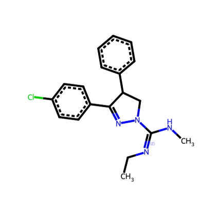 CC/N=C(/NC)N1CC(c2ccccc2)C(c2ccc(Cl)cc2)=N1